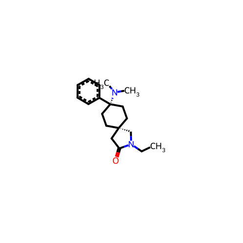 CCN1C[C@]2(CC[C@@](c3ccccc3)(N(C)C)CC2)CC1=O